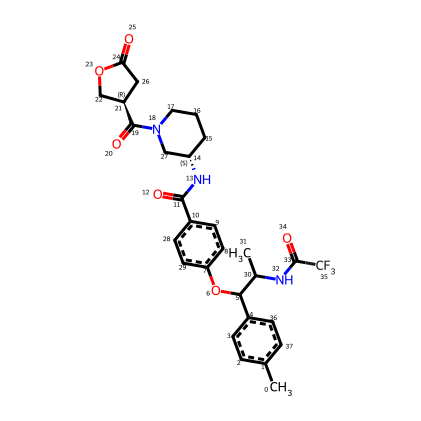 Cc1ccc(C(Oc2ccc(C(=O)N[C@H]3CCCN(C(=O)[C@H]4COC(=O)C4)C3)cc2)C(C)NC(=O)C(F)(F)F)cc1